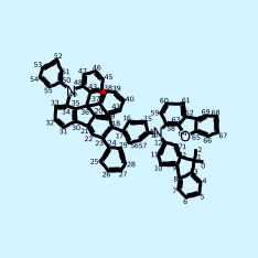 CC1(C)c2ccccc2-c2ccc(N(c3ccc(-c4cc5c(cc4-c4ccccc4)-c4cccc6c4C5(c4ccccc4)c4ccccc4N6c4ccccc4)cc3)c3cccc4c3oc3ccccc34)cc21